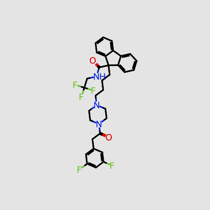 O=C(Cc1cc(F)cc(F)c1)N1CCN(CCCCC2(C(=O)NCC(F)(F)F)c3ccccc3-c3ccccc32)CC1